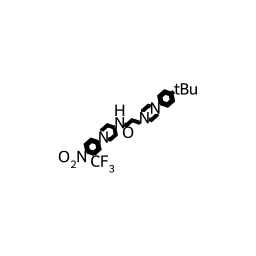 CC(C)(C)c1ccc(N2CCN(CCC(=O)NC3CCN(c4ccc([N+](=O)[O-])c(C(F)(F)F)c4)CC3)CC2)cc1